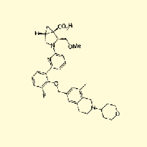 COC[C@H]1N(c2cccc(-c3cccc(F)c3OCc3cc(C)c4c(c3)CCN(C3CCOCC3)C4)n2)C[C@@H]2C[C@@]21C(=O)O